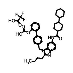 CCCCc1nc2ccc(NC(=O)C3CCC(C4CCCCC4)CC3)cc2n1Cc1ccc(-c2ccccc2OC(=O)O)cc1.O=C(O)C(F)(F)F